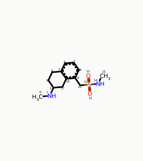 CNC1CCc2cccc(CS(=O)(=O)NC)c2C1